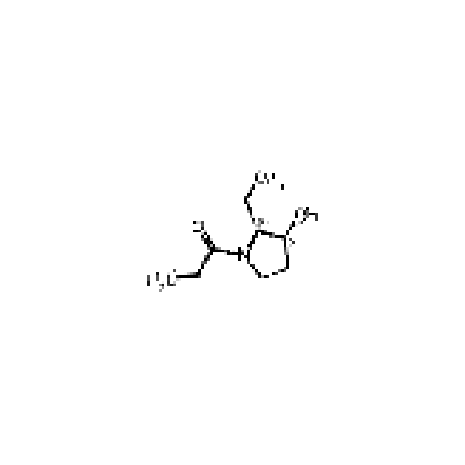 CCC(=O)N1CC[C@H](O)[C@@H]1CC